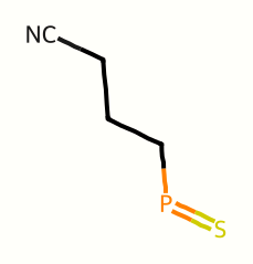 N#CCCCP=S